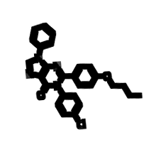 CCCCOc1ccc(-c2nc3c(ncn3-c3ccccc3)c(=O)n2-c2ccc(Cl)cc2)cc1